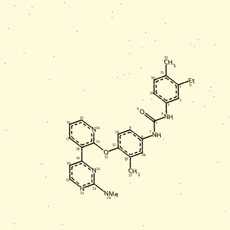 CCc1cc(NC(=O)Nc2ccc(Oc3ncccc3-c3ccnc(NC)n3)c(C)c2)ccc1C